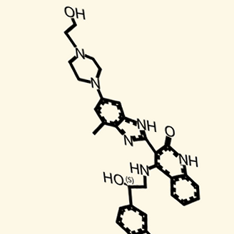 Cc1cc(N2CCN(CCO)CC2)cc2[nH]c(-c3c(NC[C@@H](O)c4cccc(Cl)c4)c4ccccc4[nH]c3=O)nc12